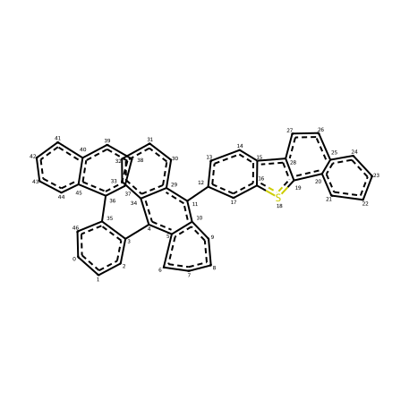 c1ccc(-c2c3ccccc3c(-c3ccc4c(c3)sc3c5ccccc5ccc43)c3ccccc23)c(-c2cccc3ccccc23)c1